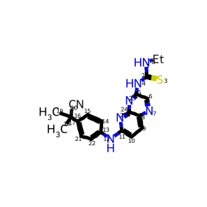 CCNC(=S)Nc1cnc2ccc(Nc3ccc(C(C)(C)C#N)cc3)nc2n1